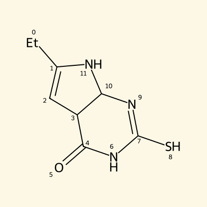 CCC1=CC2C(=O)NC(S)=NC2N1